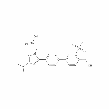 CC(C)c1cc(-c2ccc(-c3ccc(CO)c(S(C)(=O)=O)c3)cc2)n(CC(=O)O)n1